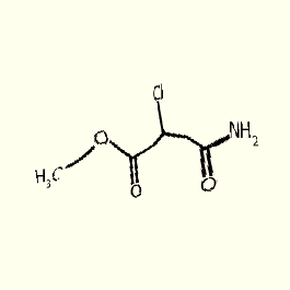 COC(=O)C(Cl)C(N)=O